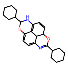 C1=CC2OC(C3CCCCC3)=NC3=CC=C4OC(C5CCCCC5)NC1=C4C32